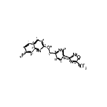 Fc1ccc2ccc(OCc3ccc(-c4noc(C(F)(F)F)n4)cn3)nc2c1